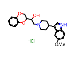 COc1ccc2[nH]cc(C3CCN(CC(O)C4COc5ccccc5O4)CC3)c2c1.Cl